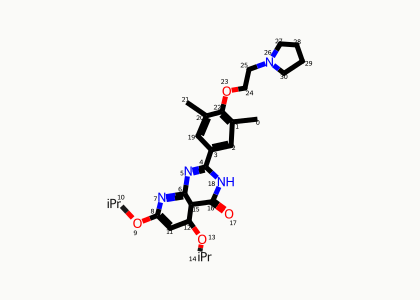 Cc1cc(C2=NC3=NC(OC(C)C)=CC(OC(C)C)C3C(=O)N2)cc(C)c1OCCN1CCCC1